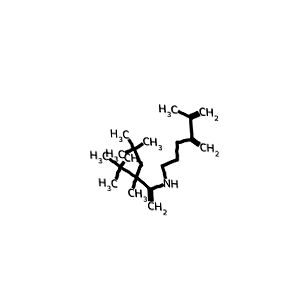 C=C(C)C(=C)CCCNC(=C)C(C)(CC(C)(C)C)C(C)(C)C